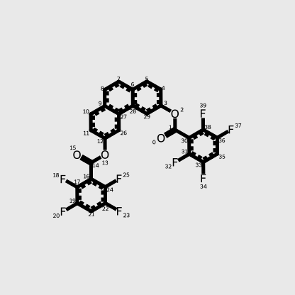 O=C(Oc1ccc2ccc3ccc(OC(=O)c4c(F)c(F)cc(F)c4F)cc3c2c1)c1c(F)c(F)cc(F)c1F